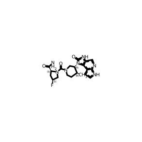 C[C@@H]1CCN(C(=O)N2C[C@@H](F)C[C@H]2C(N)=O)C[C@@H]1n1c(=O)[nH]c2cnc3[nH]ccc3c21